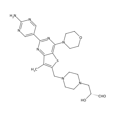 Cc1c(CN2CCN(C[C@@H](O)C=O)CC2)sc2c(N3CCOCC3)nc(-c3cnc(N)nc3)nc12